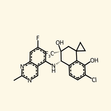 Cc1ncc2c(N[C@H]3c4ccc(Cl)c(O)c4C4(CC4)C[C@@]3(O)C(F)(F)F)cc(F)cc2n1